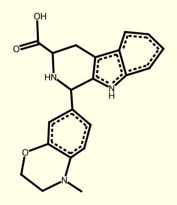 CN1CCOc2cc(C3NC(C(=O)O)Cc4c3[nH]c3ccccc43)ccc21